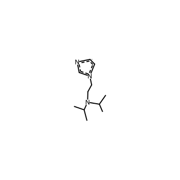 CC(C)N(CCn1c[c]nc1)C(C)C